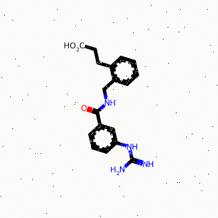 N=C(N)Nc1cccc(C(=O)NCc2ccccc2CCC(=O)O)c1